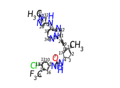 CC1=CCC(NC(=O)Nc2ccc(Cl)c(C(F)(F)F)c2)C=C1C#Cc1cnc2c(Nc3cnn(C)c3)ccnn12